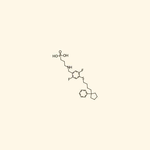 O=P(O)(O)CCCNCc1cc(F)c(SCCCCC2(c3ccccc3)CCCC2)cc1F